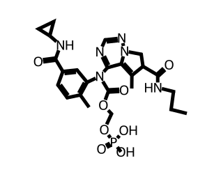 CCCNC(=O)C1CN2N=CN=C(N(C(=O)OCOP(=O)(O)O)c3cc(C(=O)NC4CC4)ccc3C)C2=C1C